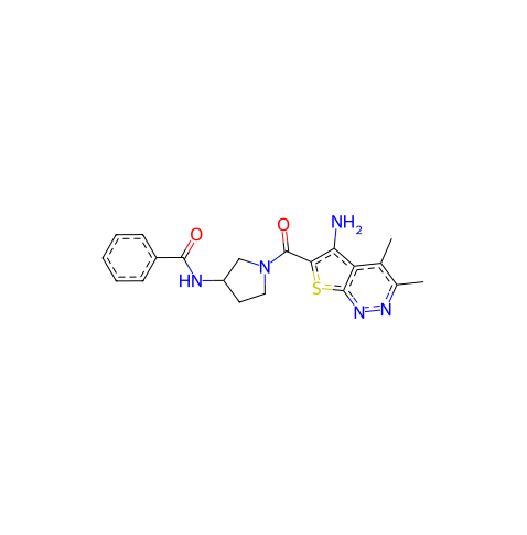 Cc1nnc2sc(C(=O)N3CCC(NC(=O)c4ccccc4)C3)c(N)c2c1C